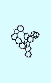 c1ccc(-c2nc(-c3ccccc3)nc(-c3cccc4oc5ccc6ccc(-n7c8cc9ccccc9cc8c8cc9ccccc9cc87)cc6c5c34)n2)cc1